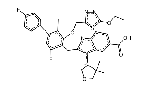 CCOc1nnc(COc2c(C)c(-c3ccc(F)cc3)cc(F)c2Cc2nc3ccc(C(=O)O)cc3n2[C@@H]2COCC2(C)C)s1